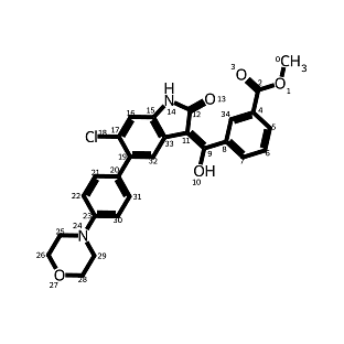 COC(=O)c1cccc(C(O)=C2C(=O)Nc3cc(Cl)c(-c4ccc(N5CCOCC5)cc4)cc32)c1